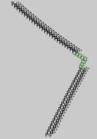 [Cl-].[Cl-].[Cl-].[Cl-].[Cl-].[Cl-].[Cl-].[Cl-].[Pd+2].[Pd+2].[Pd+2].[Pd+2].[Pd+2].[Pd+2].[Pd+2].[Pd+2].[Pd+2].[Pd+2].[Pd+2].[Pd+2].[Pd+2].[Pd+2].[Pd+2].[Pd+2].[Pd+2].[Pd+2].[Pd+2].[Pd+2].[Pd+2].[Pd+2].[Pd+2].[Pd+2].[Pd+2].[Pd+2].[Pd+2].[Pd+2].[Pd+2].[Pd+2].[Pd+2].[Pd+2].[Pd+2].[Pd+2].[Pd+2].[Pd+2].[Pd+2].[Pd+2].[Pd+2].[Pd+2].[Pd+2].[Pd+2].[Pd+2].[Pd+2].[Pd+2].[Pd+2].[Pd+2].[Pd+2].[Pd+2].[Pd+2]